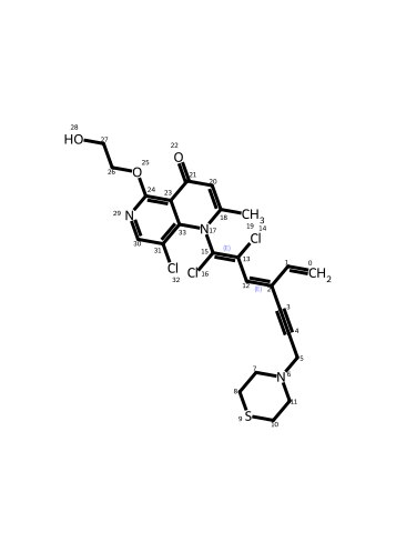 C=C/C(C#CCN1CCSCC1)=C\C(Cl)=C(/Cl)n1c(C)cc(=O)c2c(OCCO)ncc(Cl)c21